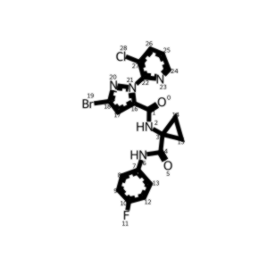 O=C(NC1(C(=O)Nc2ccc(F)cc2)CC1)c1cc(Br)nn1-c1ncccc1Cl